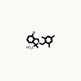 Cc1cc(C)c(CN2Cc3c(Br)cccc3C2(C)C(=O)O)c(C)c1